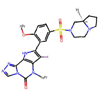 CCCOc1ccc(S(=O)(=O)N2CCN3CCC[C@@H]3C2)cc1-c1[nH]c2c(c1I)n(CCC)c(=O)n1cnnc21